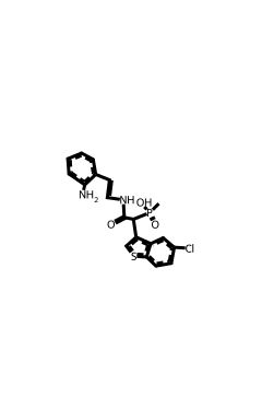 CP(=O)(O)C(C(=O)NC=Cc1ccccc1N)c1csc2ccc(Cl)cc12